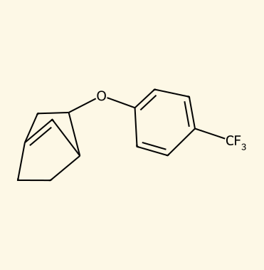 FC(F)(F)c1ccc(OC2CC3=CC2CC3)cc1